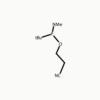 CNP(OCCC#N)C(C)(C)C